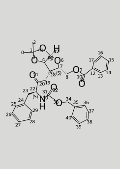 CC1(C)OC2[C@H](O[C@H](COC(=O)c3ccccc3)[C@@H]2CC(=O)[C@H](Cc2ccccc2)NC(=O)OCc2ccccc2)O1